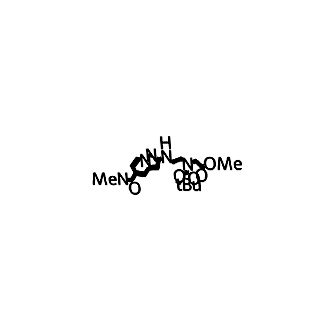 CNC(=O)c1ccn2nc(NCCN(CC(=O)OC)C(=O)OC(C)(C)C)cc2c1